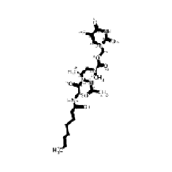 CCCCCCCC(=O)NCC(=O)N(NC(C)=O)[C@H](C)CN(C)C(=O)OCn1cc(F)c(=O)[nH]c1=O